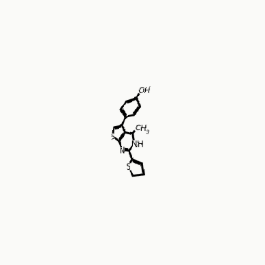 CC1NC(C2=CCCS2)=Nc2scc(-c3ccc(O)cc3)c21